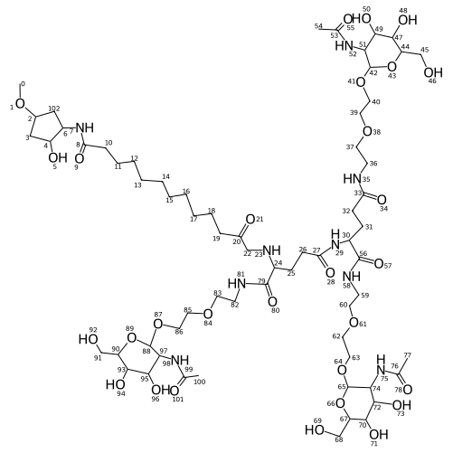 COC1CC(O)C(NC(=O)CCCCCCCCCCC(=O)CNC(CCC(=O)NC(CCC(=O)NCCOCCOC2OC(CO)C(O)C(O)C2NC(C)=O)C(=O)NCCOCCOC2OC(CO)C(O)C(O)C2NC(C)=O)C(=O)NCCOCCOC2OC(CO)C(O)C(O)C2NC(C)=O)C1